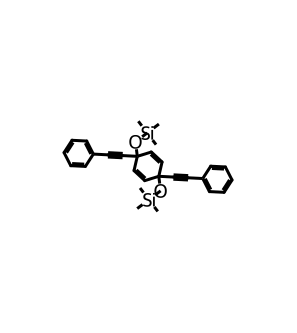 C[Si](C)(C)OC1(C#Cc2ccccc2)C=CC(C#Cc2ccccc2)(O[Si](C)(C)C)C=C1